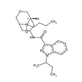 CCCC[N+]1([O-])C2COC[C@@H]1CC(NC(=O)c1nn(C(C)CC)c3ccccc13)C2